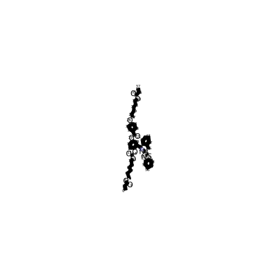 C=CC(=O)OCCCCCCOC(=O)Oc1ccc(OC(=O)c2ccc(OCCCCCCOC(=O)C=C)cc2)cc1/C=N/N(Cc1ccccc1)c1nc2ccccc2s1